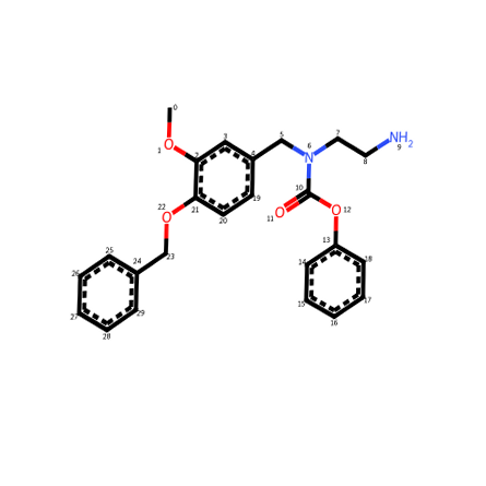 COc1cc(CN(CCN)C(=O)Oc2ccccc2)ccc1OCc1ccccc1